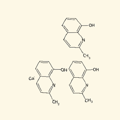 Cc1ccc2cccc(O)c2n1.Cc1ccc2cccc(O)c2n1.Cc1ccc2cccc(O)c2n1.[Ga]